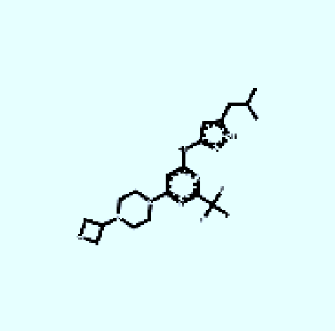 CC(C)Cc1cc(Nc2cc(N3CCN(C4COC4)CC3)nc(C(F)(F)F)n2)n[nH]1